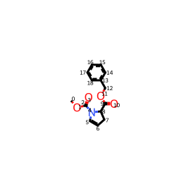 COC(=O)N1C=CCC1C(=O)OCc1ccccc1